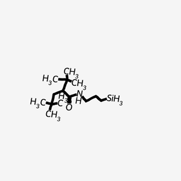 CC(C)(C)CC(C(=O)NCCC[SiH3])C(C)(C)C